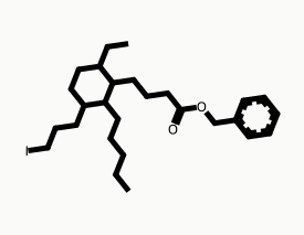 CCCCCC1C(CCCI)CCC(CC)C1CCCC(=O)OCc1ccccc1